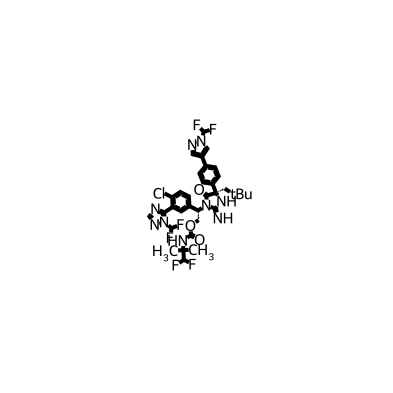 CC(C)(C)C[C@]1(c2ccc(-c3cnn(C(F)F)c3)cc2)NC(=N)N([C@H](COC(=O)NC(C)(C)C(F)F)c2ccc(Cl)c(-c3ncnn3C(F)F)c2)C1=O